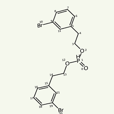 O=[PH](OCCc1cccc(Br)c1)OCCc1cccc(Br)c1